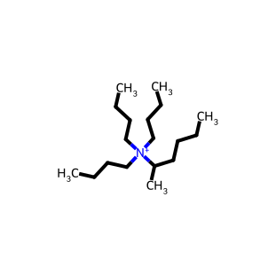 CCCCC(C)[N+](CCCC)(CCCC)CCCC